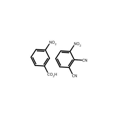 N#Cc1cccc([N+](=O)[O-])c1C#N.O=C(O)c1cccc([N+](=O)[O-])c1